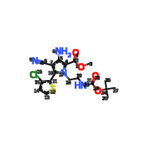 COC(=O)c1c(N)c(C#N)c(-c2sccc2Cl)n1CCNC(=O)OC(C)(C)C